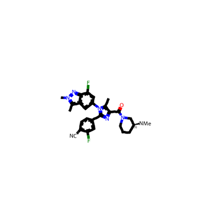 CN[C@H]1CCCN(C(=O)c2nc(-c3ccc(C#N)c(F)c3)n(-c3cc(F)c4nn(C)c(C)c4c3)c2C)C1